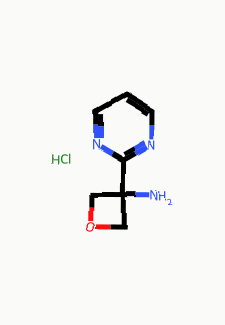 Cl.NC1(c2ncccn2)COC1